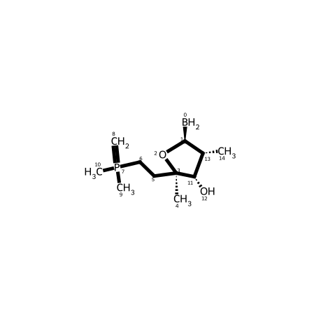 B[C@@H]1O[C@](C)(CCP(=C)(C)C)[C@@H](O)[C@H]1C